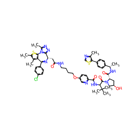 Cc1ncsc1-c1ccc([C@H](C)NC(=O)[C@@H]2C[C@@H](O)CN2C(=O)C(NC(=O)c2ccc(OCCCCNC(=O)C[C@@H]3N=C(c4ccc(Cl)cc4)c4c(sc(C)c4C)-n4c(C)nnc43)cn2)C(C)(C)C)cc1